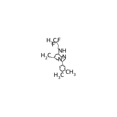 C=Cc1cc(NCCC(C)(F)F)c2ncc(-c3ccc(C)c(C)c3)n2c1